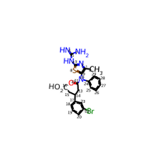 Cc1nc(NC(=N)N)sc1N(C(=O)CC(CC(=O)O)c1cccc(Br)c1)c1ccccc1